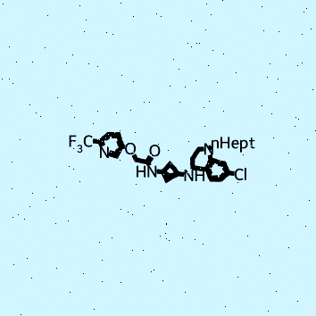 CCCCCCCN1CCC(NC23CC(NC(=O)COc4ccc(C(F)(F)F)nc4)(C2)C3)c2ccc(Cl)cc21